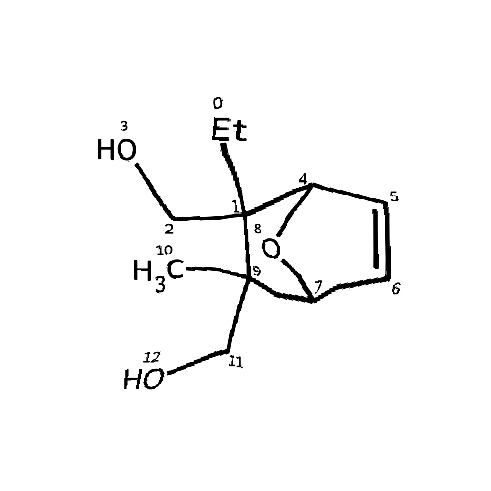 CCC1(CO)C2C=CC(O2)C1(C)CO